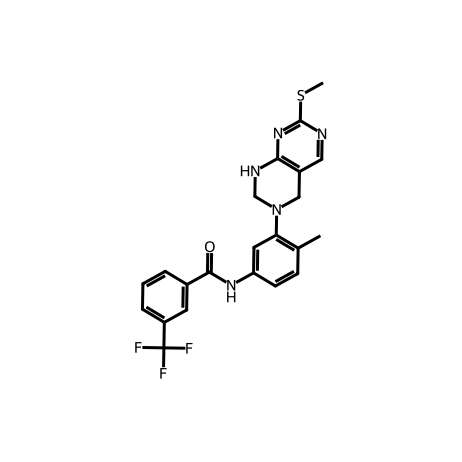 CSc1ncc2c(n1)NCN(c1cc(NC(=O)c3cccc(C(F)(F)F)c3)ccc1C)C2